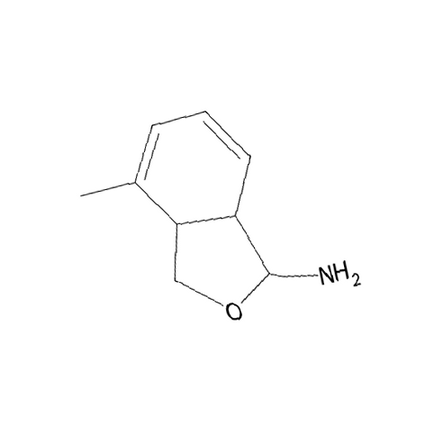 CC1=CC=CC2C(N)OCC12